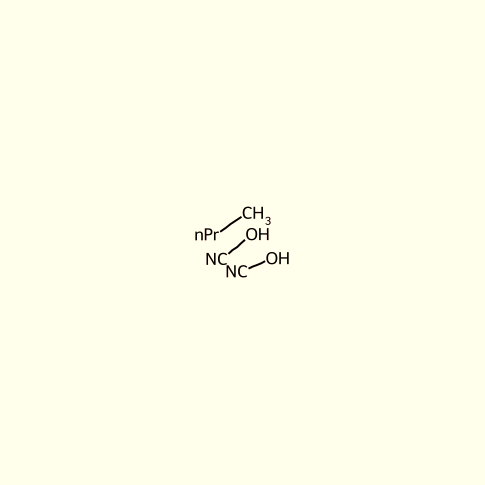 CCCC.N#CO.N#CO